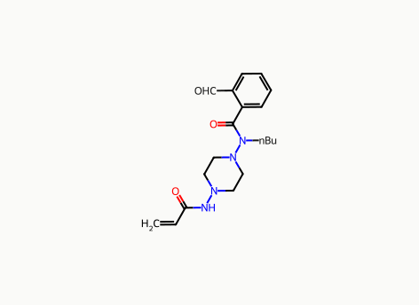 C=CC(=O)NN1CCN(N(CCCC)C(=O)c2ccccc2C=O)CC1